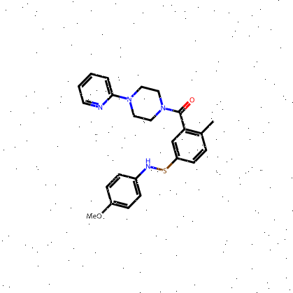 COc1ccc(NSc2ccc(C)c(C(=O)N3CCN(c4ccccn4)CC3)c2)cc1